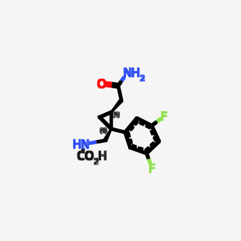 NC(=O)C[C@@H]1C[C@@]1(CNC(=O)O)c1cc(F)cc(F)c1